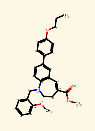 CCCOc1ccc(-c2ccc3c(c2)C=C(C(=O)OC)CCN3Cc2ccccc2OC)cc1